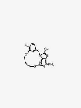 Nc1nc2nc3c1nc(O)n3Cc1ccc(F)c(c1)OCCCCO2